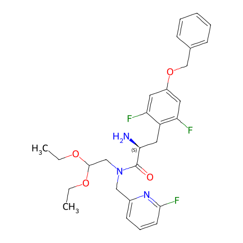 CCOC(CN(Cc1cccc(F)n1)C(=O)[C@@H](N)Cc1c(F)cc(OCc2ccccc2)cc1F)OCC